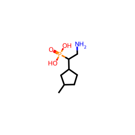 CC1CCC(C(CN)P(=O)(O)O)C1